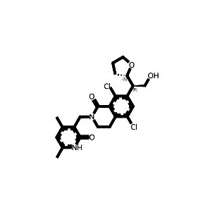 Cc1cc(C)c(CN2CCc3c(Cl)cc([C@H](CO)[C@@H]4CCCO4)c(Cl)c3C2=O)c(=O)[nH]1